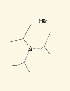 Br.CC(C)[Si](C(C)C)C(C)C